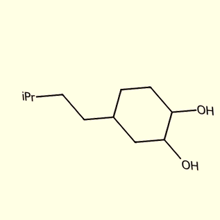 CC(C)CCC1CCC(O)C(O)C1